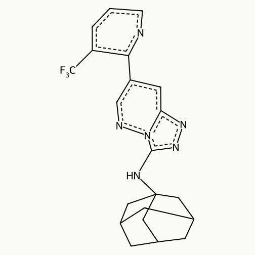 FC(F)(F)c1cccnc1-c1cnn2c(NC34CC5CC(CC(C5)C3)C4)nnc2c1